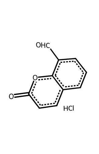 Cl.O=Cc1cccc2ccc(=O)oc12